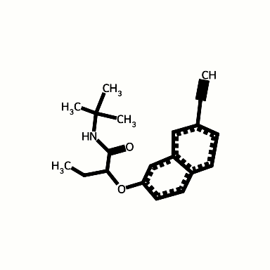 C#Cc1ccc2ccc(OC(CC)C(=O)NC(C)(C)C)cc2c1